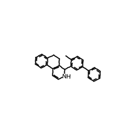 Cc1ccc(-c2ccccc2)cc1C1NC=CC2=C1CCc1ccccc12